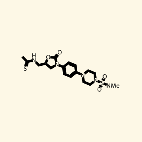 CNS(=O)(=O)N1CCN(c2ccc(N3CC(CNC(C)=S)OC3=O)cc2)CC1